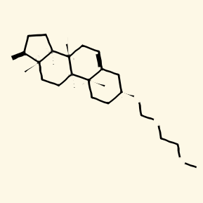 COCCOCO[C@H]1CC[C@@]2(C)C(=CC[C@@H]3[C@@H]2CC[C@]2(C)C(=O)CC[C@@H]32)C1